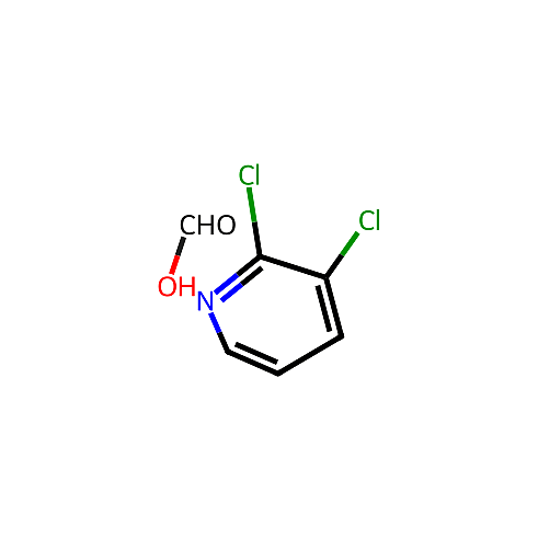 Clc1cccnc1Cl.O=CO